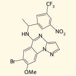 COc1cc2c(cc1Br)c(NC(C)c1cc([N+](=O)[O-])cc(C(F)(F)F)c1)nc1ccnn12